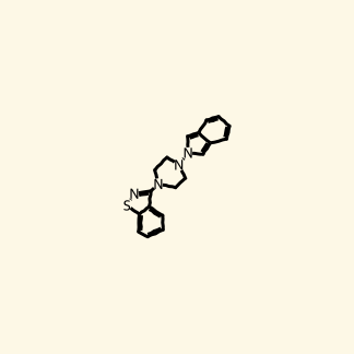 c1ccc2cn(N3CCN(c4nsc5ccccc45)CC3)cc2c1